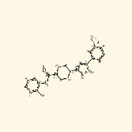 Cc1ncccc1OC(=O)N1CCC(n2cc(-c3cccc(C(F)(F)F)c3)nn2)CC1